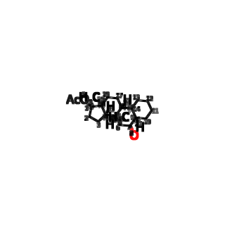 CC(=O)O[C@H]1CC[C@H]2[C@@H]3CC(=O)[C@H]4CCCC[C@]4(C)[C@H]3CC[C@]12C